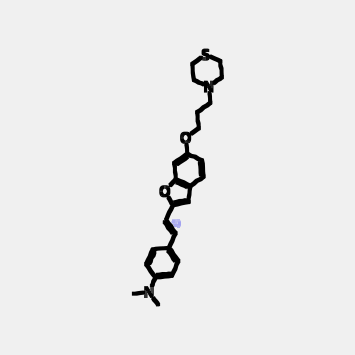 CN(C)c1ccc(/C=C/c2cc3ccc(OCCCN4CCSCC4)cc3o2)cc1